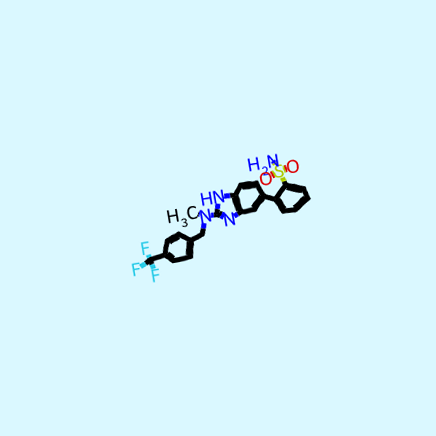 CN(Cc1ccc(C(F)(F)F)cc1)c1nc2cc(-c3ccccc3S(N)(=O)=O)ccc2[nH]1